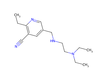 CCc1ncc(CNCCN(CC)CC)cc1C#N